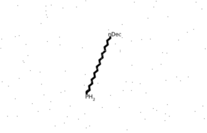 CCCCCCCCCCCCCCCCCCCCCCCCCCC=CP